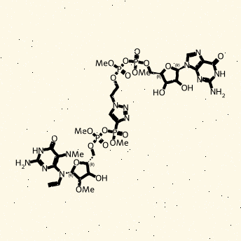 C=CN(c1nc(N)[nH]c(=O)c1NC)[C@@H]1O[C@H](COP(=O)(OC)OP(=O)(OC)c2cn(CCOP(=O)(OC)OP(=O)(OC)OC[C@H]3O[C@@H](n4cnc5c(=O)[nH]c(N)nc54)C(O)C3O)nn2)C(O)C1OC